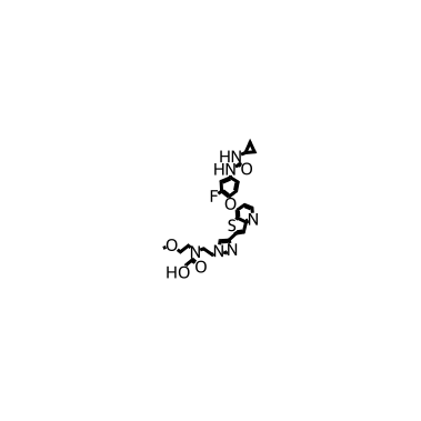 COCCN(CCn1cnc(-c2cc3nccc(Oc4ccc(NC(=O)NC5CC5)cc4F)c3s2)c1)C(=O)CO